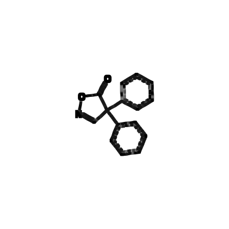 O=C1ON=CC1(c1ccccc1)c1ccccc1